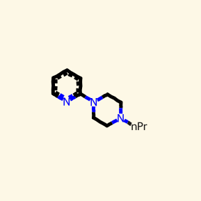 [CH2]CCN1CCN(c2ccccn2)CC1